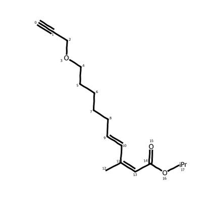 C#CCOCCCCCC=CC(C)=CC(=O)OC(C)C